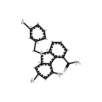 CCc1cc(O)c2c3c(C(N)=O)cccc3n(Cc3cccc(Cl)c3)c2c1